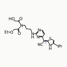 CCOCC(=O)N(CCCNc1nccc(/C(C#N)=C2/NC(C(C)C)=CS2)n1)C(=O)CO